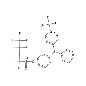 FC(F)(F)c1ccc([S+](c2ccccc2)c2ccccc2)cc1.O=S(=O)([O-])C(F)(F)C(F)(F)C(F)(F)C(F)(F)F